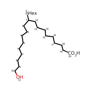 CCCCCCC(CCCCCCCCCO)CCCCCCCCC(=O)O